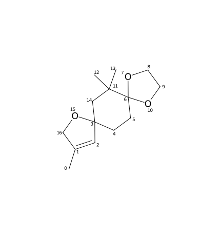 CC1=CC2(CCC3(OCCO3)C(C)(C)C2)OC1